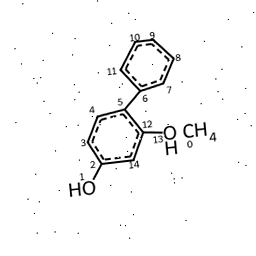 C.Oc1ccc(-c2ccccc2)c(O)c1